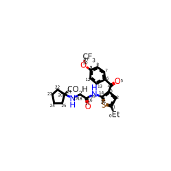 CCc1cc(C(=O)c2ccc(OC(F)(F)F)cc2)c(NC(=O)CNC2(C(=O)O)CCCC2)s1